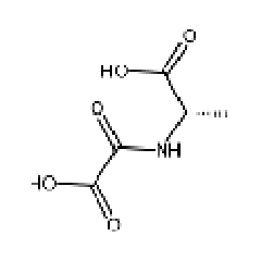 C[C@H](NC(=O)C(=O)O)C(=O)O